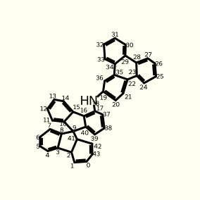 C1=CC2c3ccccc3C3(c4ccccc4-c4c(Nc5ccc6c7ccccc7c7ccccc7c6c5)cccc43)C2C=C1